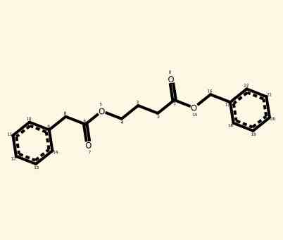 O=C(CCCOC(=O)Cc1ccccc1)OCc1ccccc1